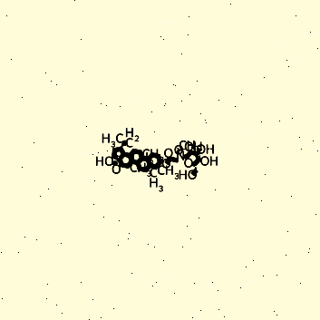 C=C(C)[C@@H]1CC[C@]2(C(=O)O)CC[C@]3(C)C(CCC4[C@@]5(C)CC[C@H](OC(=O)CN(OC)C6O[C@@H](CO)[C@H](O)[C@H](O)[C@H]6O)C(C)(C)C5CC[C@]43C)C12